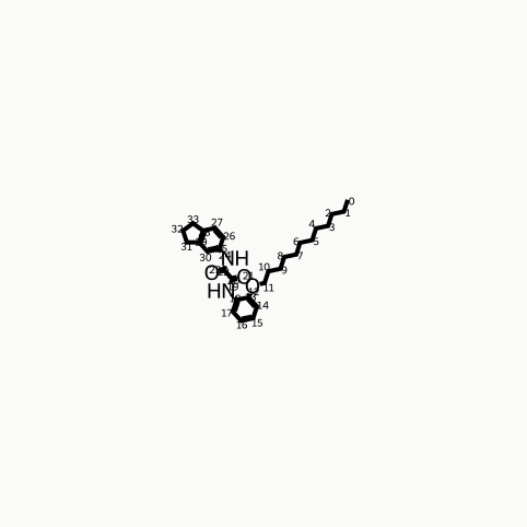 CCCCCCCCCCCCOc1ccccc1NC(=O)C(=O)Nc1ccc2c(c1)CCC2